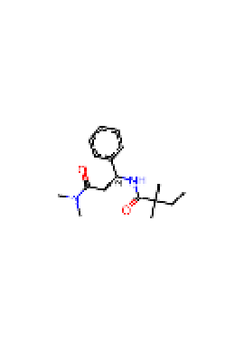 CCC(C)(C)C(=O)N[C@@H](CC(=O)N(C)C)c1ccccc1